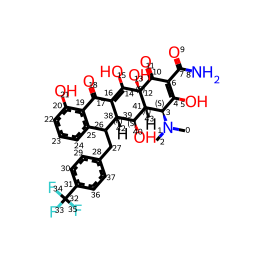 CN(C)[C@@H]1C(O)=C(C(N)=O)C(=O)[C@@]2(O)C(O)=C3C(=O)c4c(O)cccc4C(Cc4ccc(C(F)(F)F)cc4)[C@H]3[C@H](O)[C@@H]12